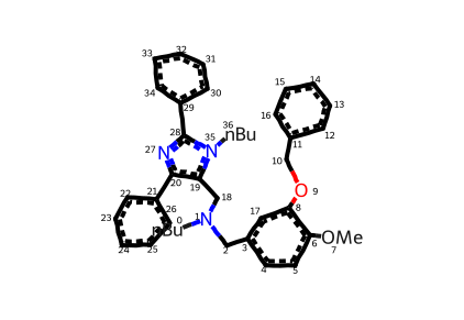 CCCCN(Cc1ccc(OC)c(OCc2ccccc2)c1)Cc1c(-c2ccccc2)nc(-c2ccccc2)n1CCCC